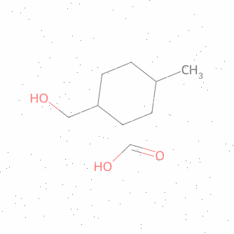 CC1CCC(CO)CC1.O=CO